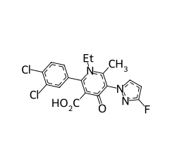 CCn1c(C)c(-n2ccc(F)n2)c(=O)c(C(=O)O)c1-c1ccc(Cl)c(Cl)c1